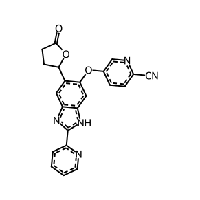 N#Cc1ccc(Oc2cc3[nH]c(-c4ccccn4)nc3cc2C2CCC(=O)O2)cn1